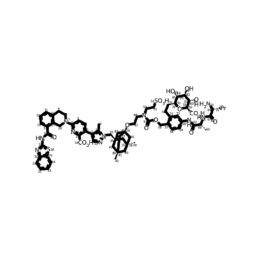 Cc1c(-c2ccc(N3CCc4cccc(C(=O)Nc5nc6ccccc6s5)c4C3)nc2C(=O)O)cnn1C[C@@]12C[C@]3(C)C[C@](C)(C1)C[C@@](OCCN(CCS(=O)(=O)O)C(=O)OCc1ccc(NC(=O)[C@@H](C)NC(=O)[C@H](N)C(C)C)cc1CC[C@@H]1O[C@H](C(=O)O)[C@@H](O)[C@H](O)[C@H]1O)(C3)C2